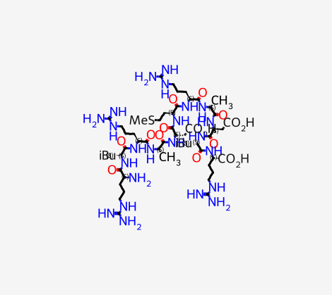 CC[C@H](C)[C@H](NC(=O)[C@H](CC(=O)O)NC(=O)[C@H](C)NC(=O)[C@H](CCCNC(=N)N)NC(=O)[C@H](CCSC)NC(=O)[C@H](CC(=O)O)NC(=O)[C@H](C)NC(=O)[C@H](CCCNC(=N)N)NC(=O)[C@@H](NC(=O)[C@@H](N)CCCNC(=N)N)[C@@H](C)CC)C(=O)N[C@@H](CCCNC(=N)N)C(=O)O